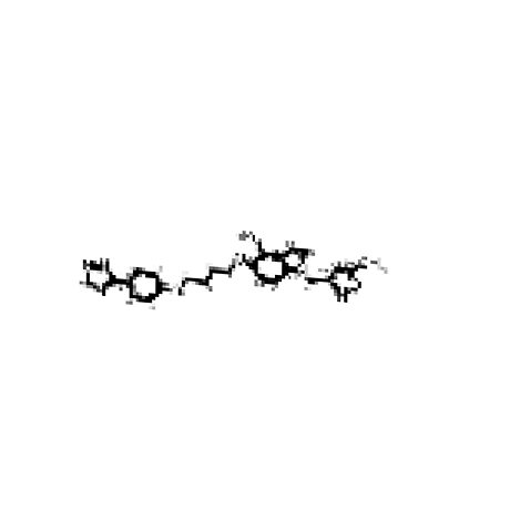 CCCc1c(OCCCCOc2ccc(C3=NCN=N3)cc2)ccc2c1ccn2Cc1cc(C)on1